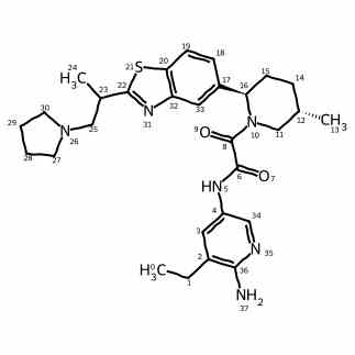 CCc1cc(NC(=O)C(=O)N2C[C@@H](C)CC[C@@H]2c2ccc3sc(C(C)CN4CCCC4)nc3c2)cnc1N